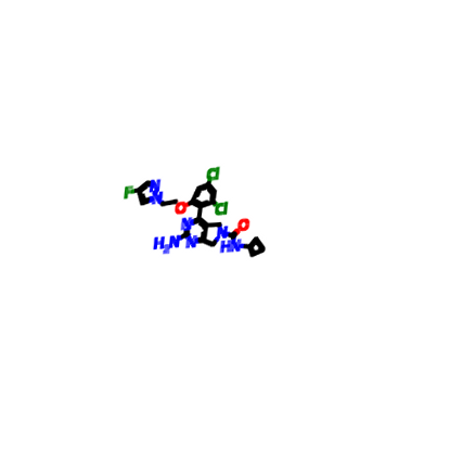 Nc1nc2c(c(-c3c(Cl)cc(Cl)cc3OCCn3cc(F)cn3)n1)CN(C(=O)NC13CC(C1)C3)C2